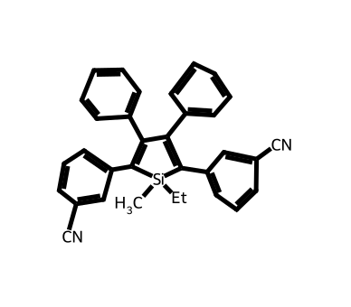 CC[Si]1(C)C(c2cccc(C#N)c2)=C(c2ccccc2)C(c2ccccc2)=C1c1cccc(C#N)c1